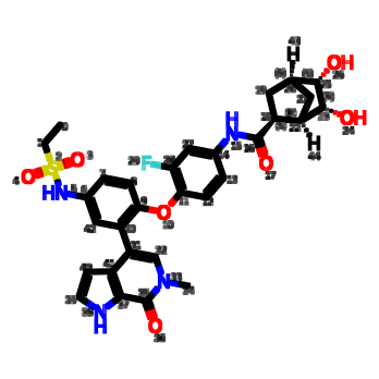 CCS(=O)(=O)Nc1ccc(Oc2ccc(NC(=O)[C@H]3C[C@@H]4C[C@H]3[C@@H](O)[C@H]4O)cc2F)c(-c2cn(C)c(=O)c3[nH]ccc23)c1